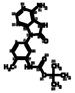 Cc1ccc(-n2c(=O)[nH]c3c(N)ncnc32)cc1NC(=O)OC(C)(C)C